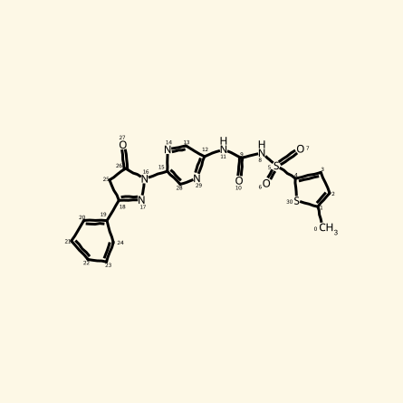 Cc1ccc(S(=O)(=O)NC(=O)Nc2cnc(N3N=C(c4ccccc4)CC3=O)cn2)s1